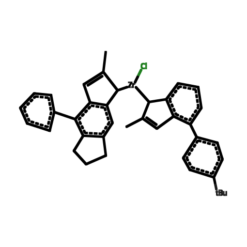 CC1=Cc2c(-c3ccc(C(C)(C)C)cc3)cccc2[CH]1[Zr]([Cl])[CH]1C(C)=Cc2c1cc1c(c2-c2ccccc2)CCC1